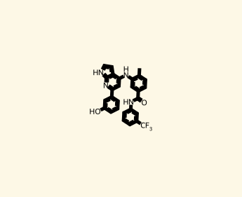 Cc1ccc(C(=O)Nc2cccc(C(F)(F)F)c2)cc1Nc1cc(-c2cccc(O)c2)nc2[nH]ccc12